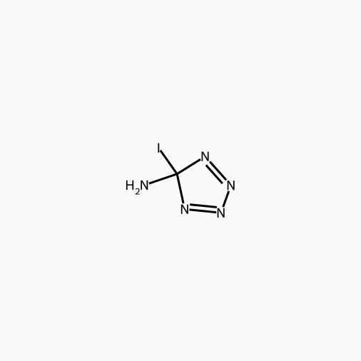 NC1(I)N=NN=N1